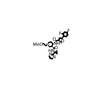 COCCN1CC[C@H](NC(=O)c2cc(-c3ccc(F)cc3F)on2)[C@@H](C(=O)NC2(c3ncccn3)CC2)C1